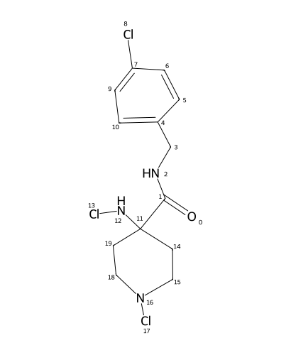 O=C(NCc1ccc(Cl)cc1)C1(NCl)CCN(Cl)CC1